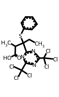 CCC(Sc1ccccc1)(c1nc(C(Cl)(Cl)Cl)nc(C(Cl)(Cl)Cl)n1)C(C)C(=O)O